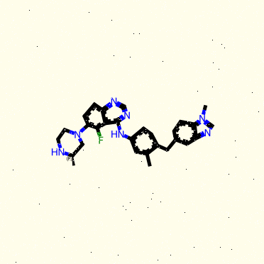 Cc1cc(Nc2ncnc3ccc(N4CCN[C@H](C)C4)c(F)c23)ccc1Cc1ccc2c(c1)ncn2C